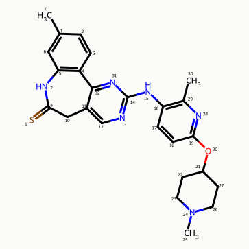 Cc1ccc2c(c1)NC(=S)Cc1cnc(Nc3ccc(OC4CCN(C)CC4)nc3C)nc1-2